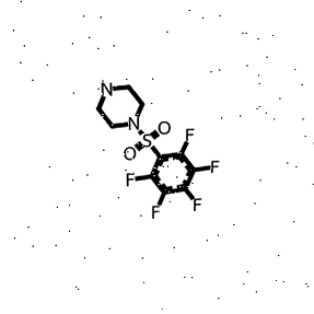 O=S(=O)(c1c(F)c(F)c(F)c(F)c1F)N1CC[N]CC1